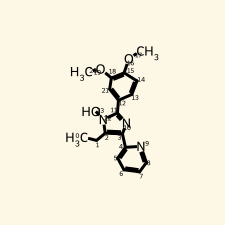 CCc1c(-c2ccccn2)nc(-c2ccc(OC)c(OC)c2)n1O